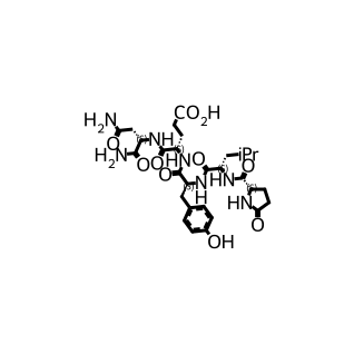 CC(C)C[C@H](NC(=O)[C@@H]1CCC(=O)N1)C(=O)N[C@@H](Cc1ccc(O)cc1)C(=O)N[C@@H](CCC(=O)O)C(=O)N[C@@H](CC(N)=O)C(N)=O